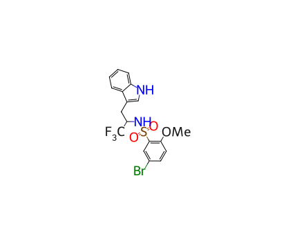 COc1ccc(Br)cc1S(=O)(=O)NC(Cc1c[nH]c2ccccc12)C(F)(F)F